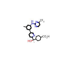 Cc1cc(Nc2nccc(C(F)(F)F)n2)cc(-c2ccc([C@](C)(O)C3CCC(C(=O)O)CC3)nc2)c1